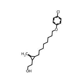 C=C1C(CCO)C1CCCCCCCCOc1ccc(Cl)cc1